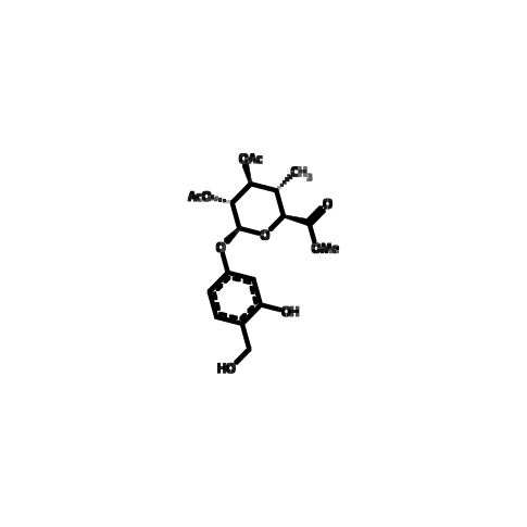 COC(=O)[C@H]1O[C@@H](Oc2ccc(CO)c(O)c2)[C@H](OC(C)=O)[C@@H](OC(C)=O)[C@@H]1C